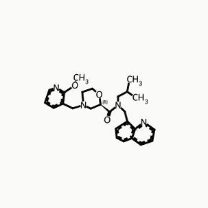 COc1ncccc1CN1CCO[C@@H](C(=O)N(Cc2cccc3cccnc23)CC(C)C)C1